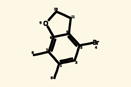 Cc1cc(Br)c2c(c1C)OCC2